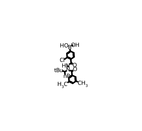 CCCC(N(NC(=O)c1ccc(B(O)O)cc1Cl)C(=O)c1cc(C)cc(C)c1)C(C)(C)C